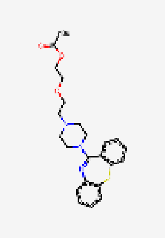 CCCCC(=O)OCCOCCN1CCN(C2=Nc3ccccc3Sc3ccccc32)CC1